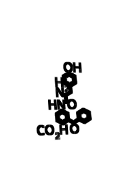 N[C@@H](Cc1ccc(O)cc1)C(=O)Nc1ccc(C(=O)O)c(C(=O)c2ccccc2)c1